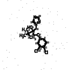 CC(C)(C)C(O)(COc1ccc(Cl)c(Cl)c1)Cn1cncn1